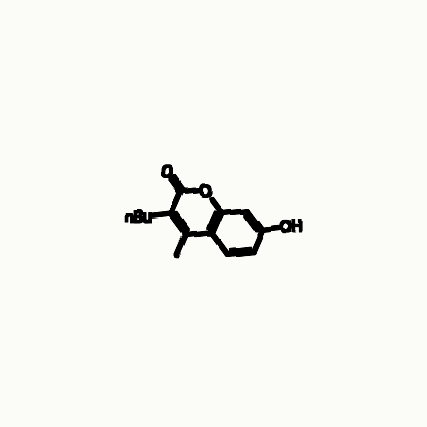 CCCCc1c(C)c2ccc(O)cc2oc1=O